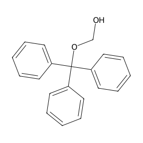 OCOC(c1ccccc1)(c1ccccc1)c1ccccc1